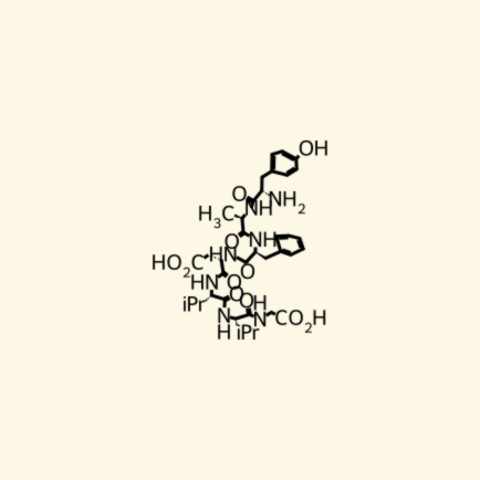 CC(C)[C@H](NC(=O)[C@H](CC(=O)O)NC(=O)[C@H](Cc1ccccc1)NC(=O)[C@@H](C)NC(=O)[C@@H](N)Cc1ccc(O)cc1)C(=O)N[C@H](C(=O)NCC(=O)O)C(C)C